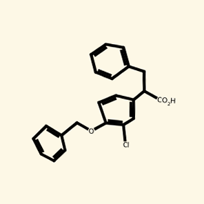 O=C(O)C(Cc1ccccc1)c1ccc(OCc2ccccc2)c(Cl)c1